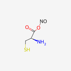 N[C@@H](CS)C(=O)ON=O